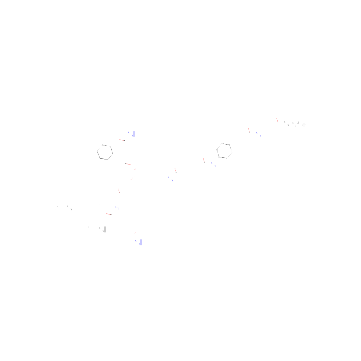 CNC(=O)CCNC(=O)CCc1ccc(NC(=O)COCC(=O)NCCCC[C@H](CC(=O)[C@H](CCCCNC(C)=O)NC(=O)[C@H](CCC(N)=O)NC(C)=O)C(=O)C[C@@H](Cc2ccccc2)C(=O)CCC(N)=O)cc1